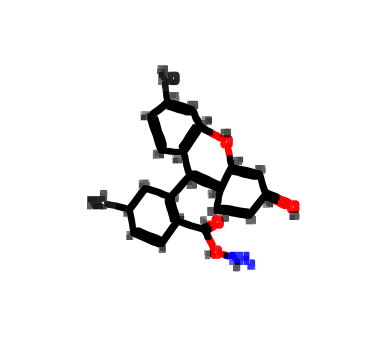 N#CC1C=CC(C(=O)ON)=C(c2c3ccc(=O)cc-3oc3cc(N=O)ccc23)C1